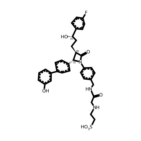 O=C(CNCCS(=O)(=O)O)NCc1ccc(N2C(=O)[C@H](CC[C@H](O)c3ccc(F)cc3)[C@H]2c2ccc(-c3cccc(O)c3)cc2)cc1